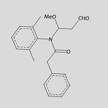 COC(CC=O)N(C(=O)Cc1ccccc1)c1c(C)cccc1C